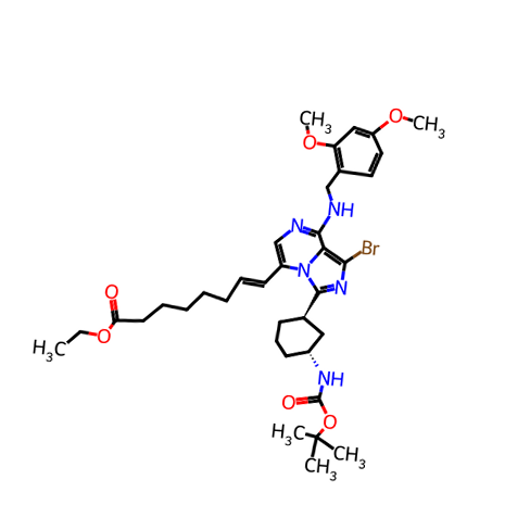 CCOC(=O)CCCCC/C=C/c1cnc(NCc2ccc(OC)cc2OC)c2c(Br)nc([C@@H]3CCC[C@@H](NC(=O)OC(C)(C)C)C3)n12